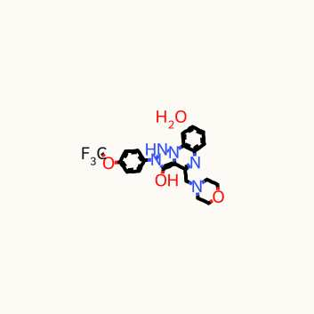 O.OC1=C2C(CN3CCOCC3)=Nc3ccccc3N2NN1c1ccc(OC(F)(F)F)cc1